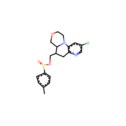 Cc1ccc(S(=O)OCC2Cc3ncc(Cl)cc3N3CCOCC23)cc1